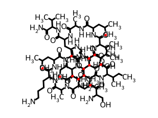 CCC(C)C(NC(=O)C(CC(=O)O)NC(=O)C(NC(=O)C(NC(=O)C(CCCCN)NC(=O)C(N)CO)C(C)CC)C(C)O)C(=O)NC(CC(C)C)C(=O)NC(C)C(=O)NC(CCCCN)C(=O)NC(CC(C)C)C(=O)NCC(=O)NC(CCCCN)C(=O)NC(C(=O)NC(CC(C)C)C(=O)NC(C)C(=O)NC(Cc1cnc[nH]1)C(=O)NC(C(N)=O)C(C)C)C(C)C